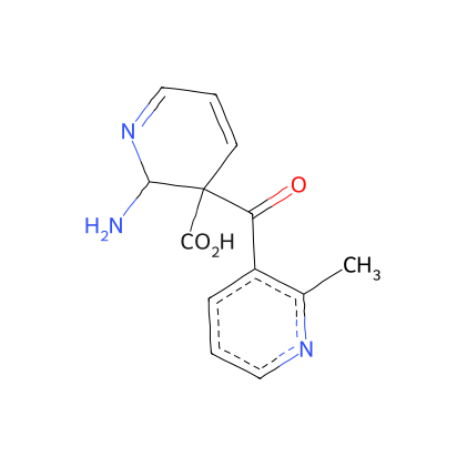 Cc1ncccc1C(=O)C1(C(=O)O)C=CC=NC1N